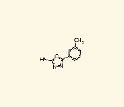 Cc1cccc(-c2nnc(S)o2)c1